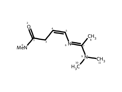 CNC(=O)C/C=C\N=C(/C)N(C)C